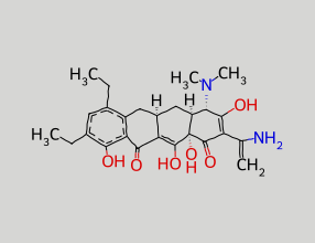 C=C(N)C1=C(O)[C@@H](N(C)C)[C@@H]2C[C@@H]3Cc4c(CC)cc(CC)c(O)c4C(=O)C3=C(O)[C@]2(O)C1=O